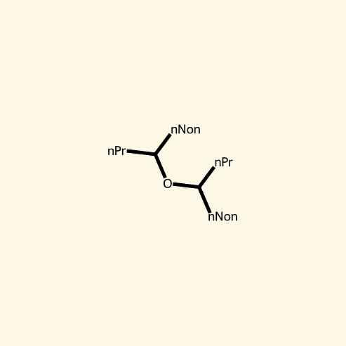 CCCCCCCCCC(CCC)OC(CCC)CCCCCCCCC